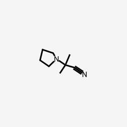 CC(C)(C#N)N1CCCC1